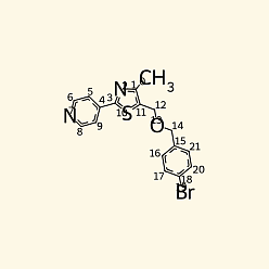 Cc1nc(-c2ccncc2)sc1COCc1ccc(Br)cc1